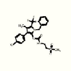 Cc1c(-c2ccc(Cl)cc2)c(OC(=O)NCCS(C)(=O)=O)n(Cc2ccccc2)c1C(F)(F)F